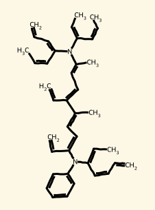 C=C/C=C\C(=C/C)N(/C(C=C)=C/C=C(C)/C(C=C)=C/C=C(\C)N(C(/C=C\C)=C/C)C(/C=C\C)=C/C=C)c1ccccc1